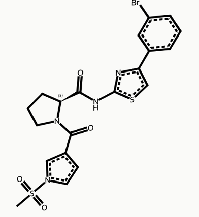 CS(=O)(=O)n1ccc(C(=O)N2CCC[C@H]2C(=O)Nc2nc(-c3cccc(Br)c3)cs2)c1